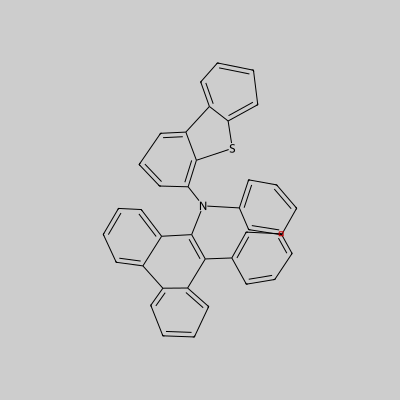 c1ccc(-c2c(N(c3ccccc3)c3cccc4c3sc3ccccc34)c3ccccc3c3ccccc23)cc1